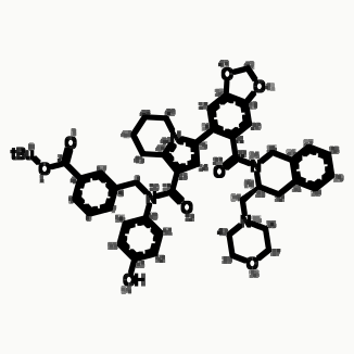 CC(C)(C)OC(=O)c1cccc(CN(C(=O)c2cc(-c3cc4c(cc3C(=O)N3Cc5ccccc5C[C@H]3CN3CCOCC3)OCO4)n3c2CCCC3)c2ccc(O)cc2)c1